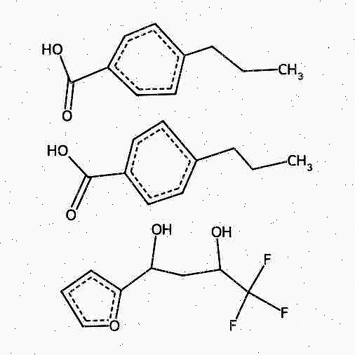 CCCc1ccc(C(=O)O)cc1.CCCc1ccc(C(=O)O)cc1.OC(CC(O)C(F)(F)F)c1ccco1